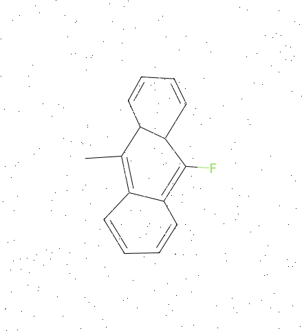 CC1=c2ccccc2=C(F)C2C=CC=CC12